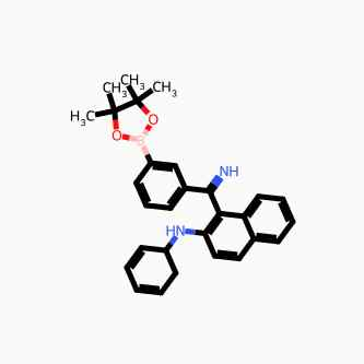 CC1(C)OB(c2cccc(C(=N)c3c(NC4C=CC=CC4)ccc4ccccc34)c2)OC1(C)C